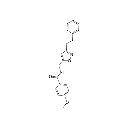 COc1ccc(C(=O)NCc2cc(CCc3ccccc3)no2)cc1